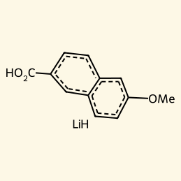 COc1ccc2cc(C(=O)O)ccc2c1.[LiH]